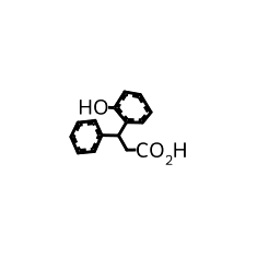 O=C(O)CC(c1ccccc1)c1ccccc1O